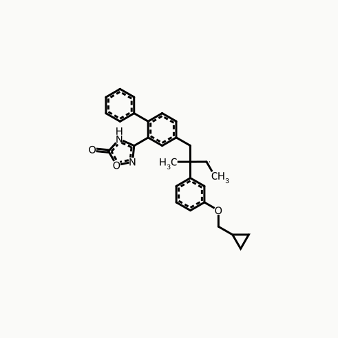 C[CH]C(C)(Cc1ccc(-c2ccccc2)c(-c2noc(=O)[nH]2)c1)c1cccc(OCC2CC2)c1